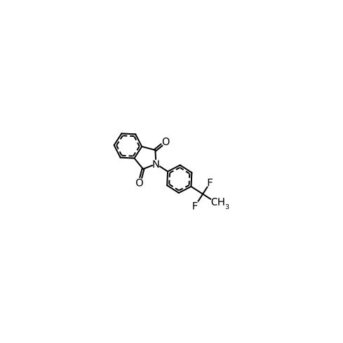 CC(F)(F)c1ccc(N2C(=O)c3ccccc3C2=O)cc1